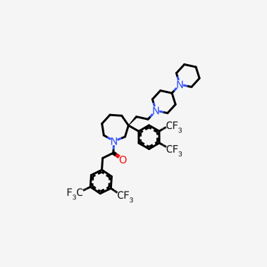 O=C(Cc1cc(C(F)(F)F)cc(C(F)(F)F)c1)N1CCCC[C@](CCN2CCC(N3CCCCC3)CC2)(c2ccc(C(F)(F)F)c(C(F)(F)F)c2)C1